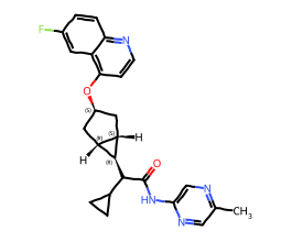 Cc1cnc(NC(=O)C(C2CC2)[C@H]2[C@@H]3C[C@@H](Oc4ccnc5ccc(F)cc45)C[C@@H]32)cn1